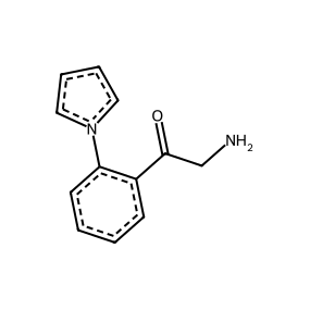 NCC(=O)c1ccccc1-n1cccc1